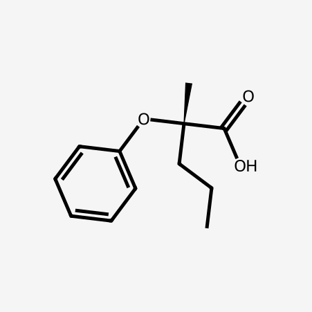 CCC[C@](C)(Oc1ccccc1)C(=O)O